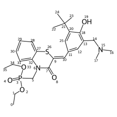 CCOP(=O)(CN1C(=O)/C(=C/c2cc(CN(C)C)c(O)c(C(C)(C)C)c2)Sc2ccccc21)OCC